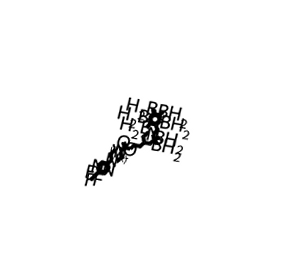 Bc1c(B)c(B)c(CN2CCC(CCOC(=O)N3[C@H](C)CN(c4cnc(C(F)(F)F)cn4)C[C@H]3C)CC2(B)B)c(B)c1B